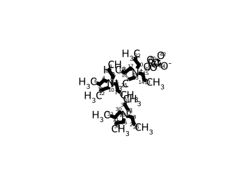 CCC[N+](CCC)(CCC)CCC.CCC[N+](CCC)(CCC)CCC.CCC[N+](CCC)(CCC)CCC.[O-2].[O]=[Ru](=[O])(=[O])[O-]